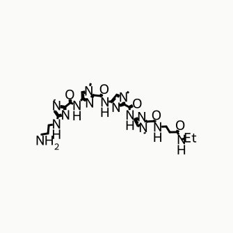 CCNC(=O)CCNC(=O)c1nc(NC(=O)c2nc(NC(=O)c3nc(NC(=O)c4nc(NCCCN)cn4C)cn3C)cn2C)cn1C